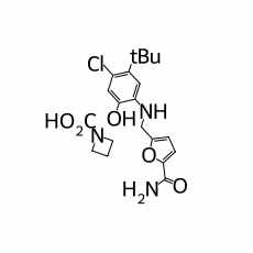 CC(C)(C)c1cc(NCc2ccc(C(N)=O)o2)c(O)cc1Cl.O=C(O)N1CCC1